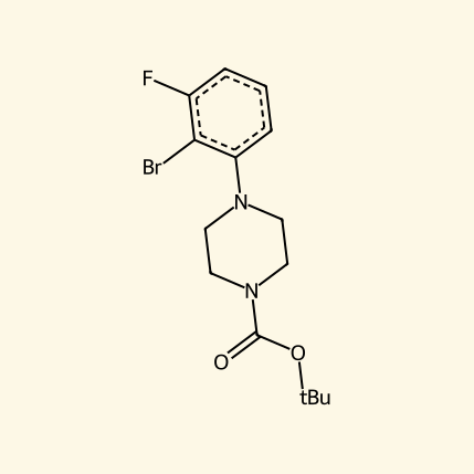 CC(C)(C)OC(=O)N1CCN(c2cccc(F)c2Br)CC1